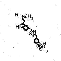 CN(C)CCc1c[nH]c2ccc(Cc3nc(Cc4cccc(NS(C)(=O)=O)c4)no3)cc12